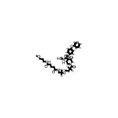 COCCCNC(=O)CCCC(=O)NCC(C)(C)OCCC(C)(C)C(=O)N1CCC(C(=O)NO)(S(=O)(=O)c2ccc(Oc3cccnc3)cc2)CC1